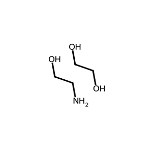 NCCO.OCCO